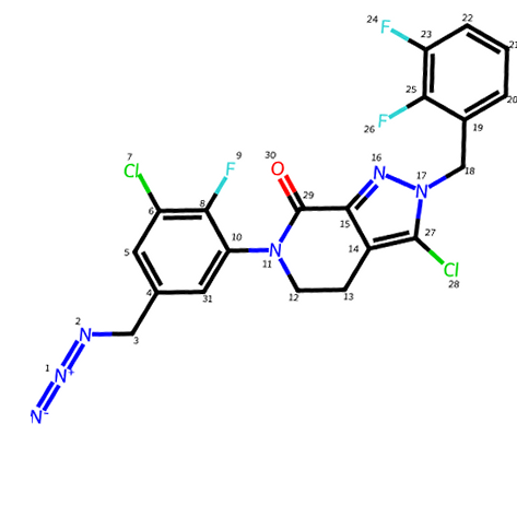 [N-]=[N+]=NCc1cc(Cl)c(F)c(N2CCc3c(nn(Cc4cccc(F)c4F)c3Cl)C2=O)c1